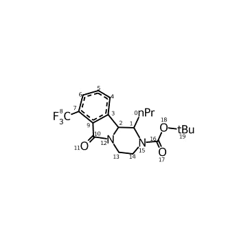 CCCC1C2c3cccc(C(F)(F)F)c3C(=O)N2CCN1C(=O)OC(C)(C)C